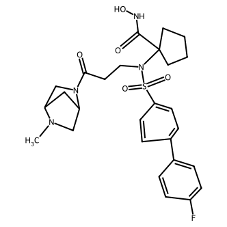 CN1CC2CC1CN2C(=O)CCN(C1(C(=O)NO)CCCC1)S(=O)(=O)c1ccc(-c2ccc(F)cc2)cc1